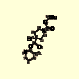 CCC1(C(=O)Oc2ncccc2C)CCN(C(=O)OC(C)(C)C)CC1